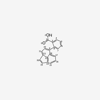 O=C(O)c1ccccc1-c1ccc2c3c(cccc13)C=C2